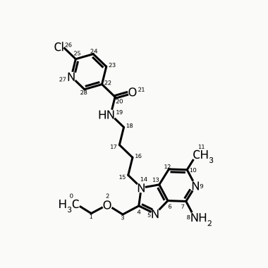 CCOCc1nc2c(N)nc(C)cc2n1CCCCNC(=O)c1ccc(Cl)nc1